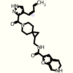 C=C/C=C\c1c[nH]nc1C(=O)N1CCC2(CC1)CC2CNC(=O)c1cc2c(o1)=CNCC=2